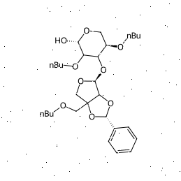 CCCCOCC12CO[C@@H](OC3C(OCCCC)[C@H](O)OC[C@H]3OCCCC)C1O[C@H](c1ccccc1)O2